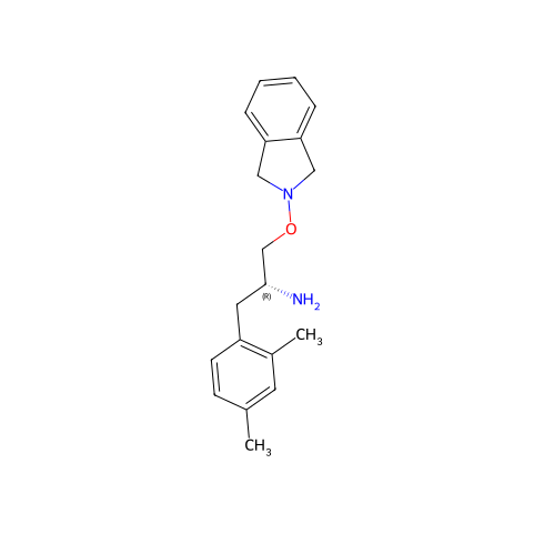 Cc1ccc(C[C@@H](N)CON2Cc3ccccc3C2)c(C)c1